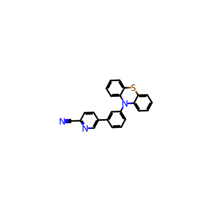 N#Cc1ccc(-c2cccc(N3c4ccccc4Sc4ccccc43)c2)cn1